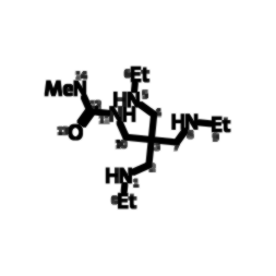 CCNCC(CNCC)(CNCC)CNC(=O)NC